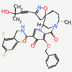 C[C@H]1CC[C@]2(CC(C#CC(C)(C)O)=NO2)[C@H]2CN1C(=O)c1c(OCc3ccccc3)c(=O)c(C(=O)NCc3c(F)cc(F)cc3F)cn12